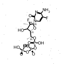 C[C@@H](OP(=O)(O)OP(=O)(O)OP(=O)(O)O)[C@H]1O[C@@H](n2cc(F)c(N)nc2=O)[C@](C)(F)C1O